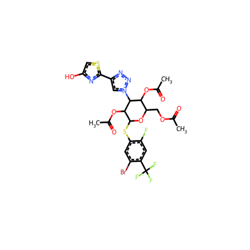 CC(=O)OCC1OC(Sc2cc(Br)c(C(F)(F)F)cc2F)C(OC(C)=O)C(n2cc(-c3nc(O)cs3)nn2)C1OC(C)=O